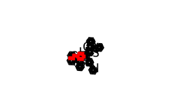 Cc1ccccc1N(c1ccccc1)c1ccccc1[SiH]1c2cc(-c3ccccn3)ccc2N(c2cc3c4c(c2)Sc2ccccc2B4c2ccccc2O3)c2ccc(-c3ccccn3)cc21